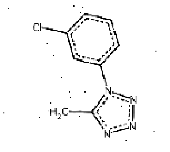 [CH2]c1nnnn1-c1cccc(Cl)c1